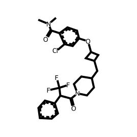 CN(C)C(=O)c1ccc(OC2CC(CC3CCN(C(=O)C(c4ccccc4)C(F)(F)F)CC3)C2)cc1Cl